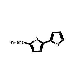 CCCC[CH]c1ccc(-c2ccco2)o1